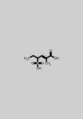 CCC(/C=C(\C)C(=O)O)S(=O)(=O)O